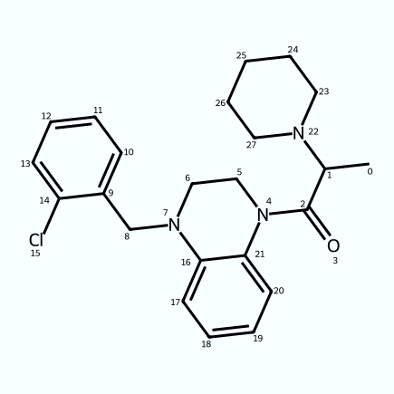 CC(C(=O)N1CCN(Cc2ccccc2Cl)c2ccccc21)N1CCCCC1